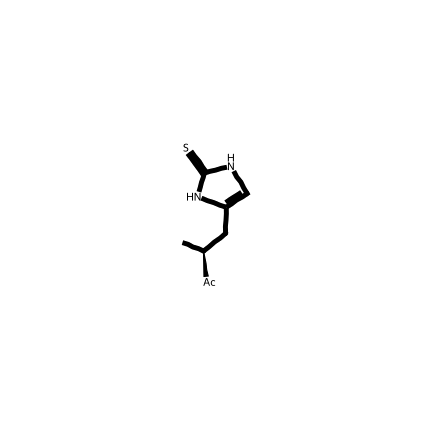 CC(=O)[C@@H](C)Cc1c[nH]c(=S)[nH]1